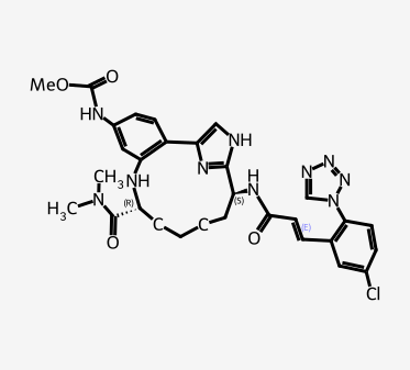 COC(=O)Nc1ccc2c(c1)N[C@@H](C(=O)N(C)C)CCCC[C@H](NC(=O)/C=C/c1cc(Cl)ccc1-n1cnnn1)c1nc-2c[nH]1